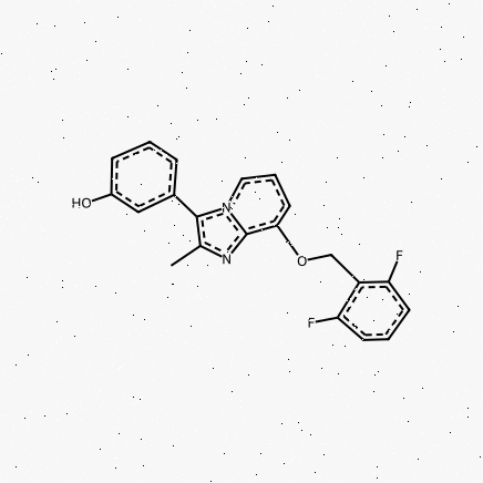 Cc1nc2c(OCc3c(F)cccc3F)cccn2c1-c1cccc(O)c1